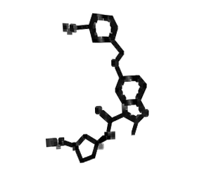 Cc1oc2ccc(OCc3cccc(C(F)(F)F)c3)cc2c1C(=O)N[C@H]1CCN(C(=O)O)C1